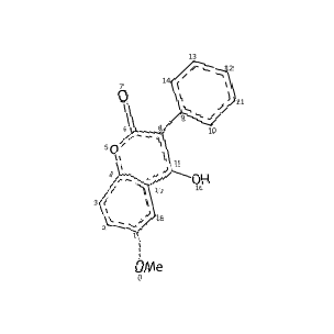 COc1ccc2oc(=O)c(-c3ccccc3)c(O)c2c1